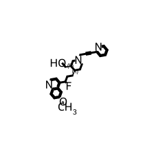 COc1ccc2nccc(C(F)CC[C@@H]3CCN(CC#Cc4ccccn4)C[C@@H]3CO)c2c1